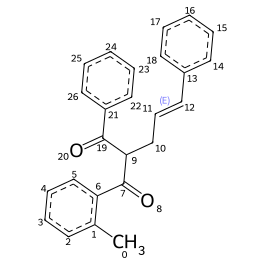 Cc1ccccc1C(=O)C(C/C=C/c1ccccc1)C(=O)c1ccccc1